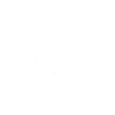 CC(NCCCNc1cc(=O)c2ccccc2[nH]1)c1cc2c(Cl)cc(Cl)cc2[nH]1